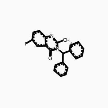 Cc1nc2ccc(I)cc2c(=O)n1C(c1ccccc1)c1ccccc1